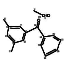 CC=O.Cc1cc(C)cc(C(=O)c2ccccc2)c1